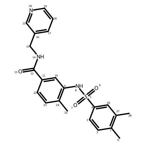 Cc1ccc(S(=O)(=O)Nc2cc(C(=O)NCc3cccnc3)ccc2C)cc1C